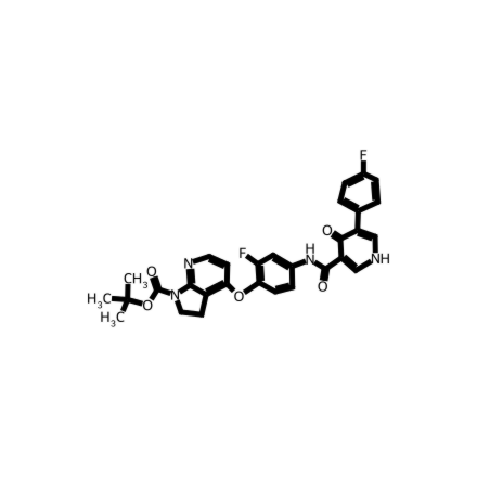 CC(C)(C)OC(=O)N1CCc2c(Oc3ccc(NC(=O)c4c[nH]cc(-c5ccc(F)cc5)c4=O)cc3F)ccnc21